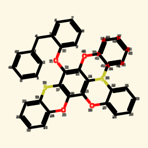 c1ccc(Cc2ccccc2Oc2c3c4c(c5c2Sc2ccccc2O5)Oc2ccccc2S4(c2ccccc2)c2ccccc2O3)cc1